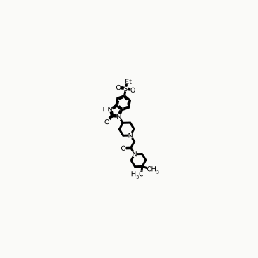 CCS(=O)(=O)c1ccc2c(c1)[nH]c(=O)n2C1CCN(CC(=O)N2CCC(C)(C)CC2)CC1